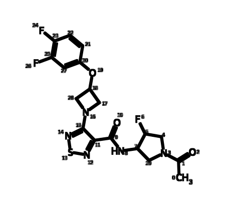 CC(=O)N1CC(F)C(NC(=O)c2nsnc2N2CC(Oc3ccc(F)c(F)c3)C2)C1